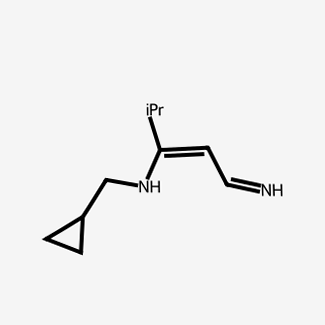 CC(C)/C(=C/C=N)NCC1CC1